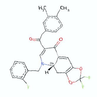 Cc1ccc(C(=O)C2=CN(Cc3ccccc3F)[C@H]3CC4=C(C=C3C2=O)OC(F)(F)O4)cc1C